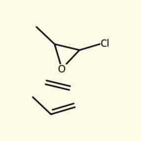 C=C.C=CC.CC1OC1Cl